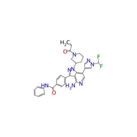 C=CC(=O)N1CCCC(n2nc(-c3ccc(C(=O)Nc4ccccc4)cc3)c3c(N)ncc(-c4cnn(C(F)F)c4)c32)C1